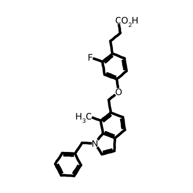 Cc1c(COc2ccc(CCC(=O)O)c(F)c2)ccc2ccn(Cc3ccccc3)c12